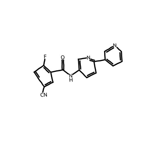 N#Cc1ccc(F)c(C(=O)Nc2ccc(-c3cccnc3)nc2)c1